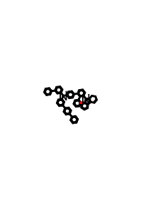 C1=Cc2c(n(-c3cccc(-c4ccc(N(c5cccc(-c6ccccc6)c5)c5cccc(-c6ccc(-c7ccccc7)cc6)c5)cc4)c3-c3ccccc3)c3ccccc23)CC1